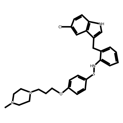 CN1CCN(CCCOc2ccc(SNc3ccccc3Cc3c[nH]c4ccc(Cl)cc34)cc2)CC1